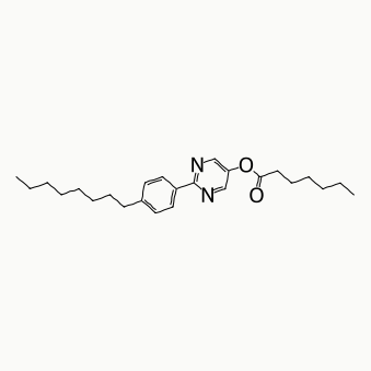 CCCCCCCCc1ccc(-c2ncc(OC(=O)CCCCCC)cn2)cc1